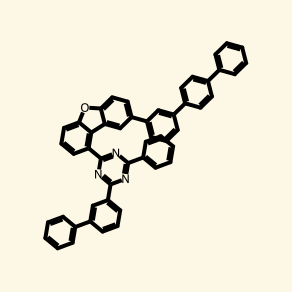 c1ccc(-c2ccc(-c3cccc(-c4ccc5oc6cccc(-c7nc(-c8ccccc8)nc(-c8cccc(-c9ccccc9)c8)n7)c6c5c4)c3)cc2)cc1